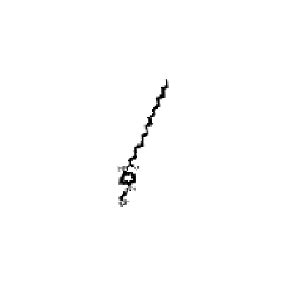 CCCCCCCCCCCCCCCCCC(=O)Nc1ccc(NC[O])cc1